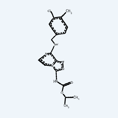 Cc1ccc(CNc2nccn3c(NC(=O)OC(C)C)nnc23)cc1Cl